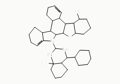 CC1CCCC2SC3C(C4C=CCCC4C4C5CCCC=C5N(C5NC(C6CCCCC6)C6CCCCC6(C)N5)C34)C12